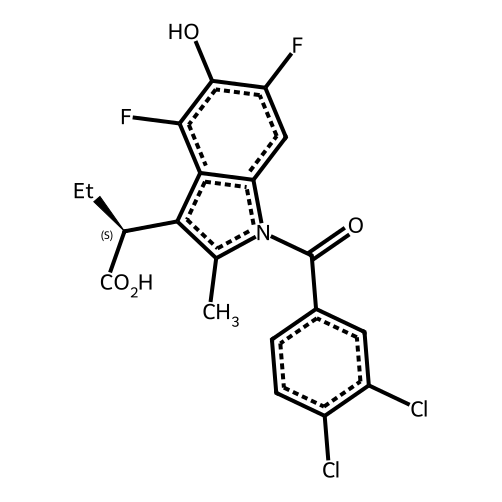 CC[C@H](C(=O)O)c1c(C)n(C(=O)c2ccc(Cl)c(Cl)c2)c2cc(F)c(O)c(F)c12